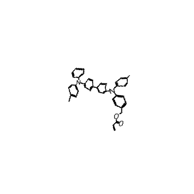 C=CC(=O)OCc1ccc(N(c2ccc(C)cc2)c2ccc(-c3ccc(N(c4ccccc4)c4ccc(C)cc4)cc3)cc2)cc1